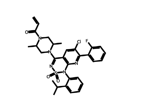 C=CC(=O)N1CC(C)N(C2=NS(=O)(=O)N(c3ccccc3C(C)C)c3nc(-c4ccccc4F)c(Cl)cc32)CC1C